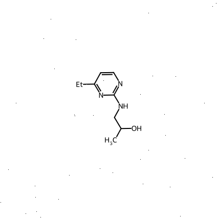 CCc1ccnc(NCC(C)O)n1